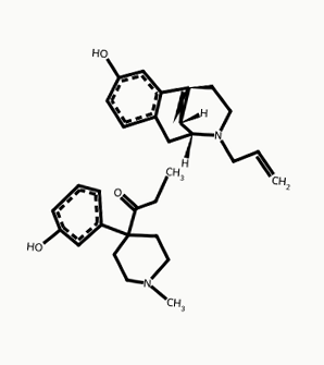 C=CCN1CC[C@]23CCCC[C@H]2[C@H]1Cc1ccc(O)cc13.CCC(=O)C1(c2cccc(O)c2)CCN(C)CC1